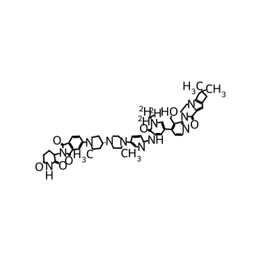 [2H]C([2H])([2H])n1cc(-c2ccnc(N3CCn4c(cc5c4CC(C)(C)C5)C3=O)c2CO)cc(Nc2ccc(N3CCN([C@H]4CCN(c5ccc6c(c5)C(=O)N(C5CCC(=O)NC5=O)C6=O)[C@@H](C)C4)C[C@@H]3C)cn2)c1=O